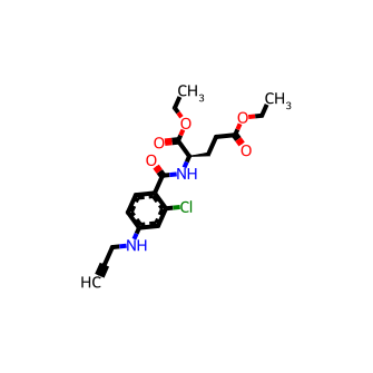 C#CCNc1ccc(C(=O)N[C@H](CCC(=O)OCC)C(=O)OCC)c(Cl)c1